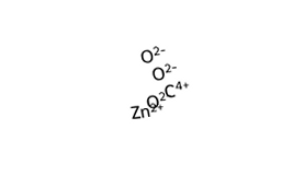 [C+4].[O-2].[O-2].[O-2].[Zn+2]